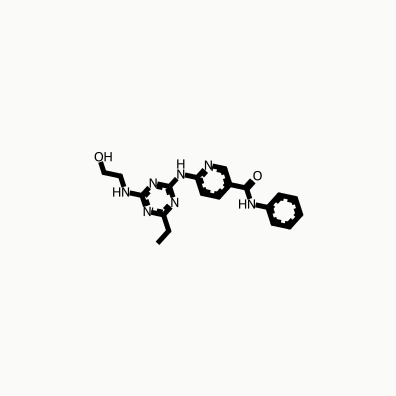 CCc1nc(NCCO)nc(Nc2ccc(C(=O)Nc3ccccc3)cn2)n1